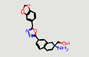 N[C@@]1(CO)CCc2ccc(-c3nnc(-c4ccc5c(c4)OCO5)o3)cc2C1